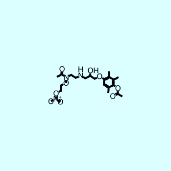 CC(=O)Oc1c(C)cc(OCC(O)CNCCN(OCCO[N+](=O)[O-])C(C)=O)c(C)c1C